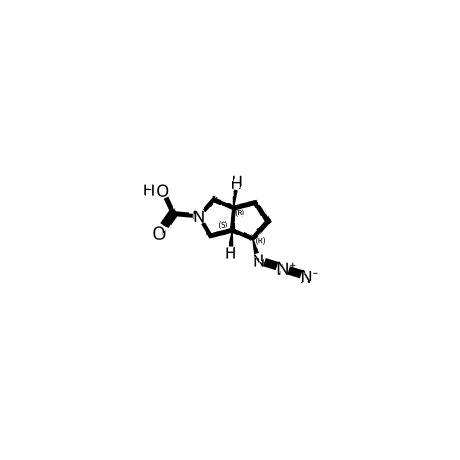 [N-]=[N+]=N[C@@H]1CC[C@H]2CN(C(=O)O)C[C@H]21